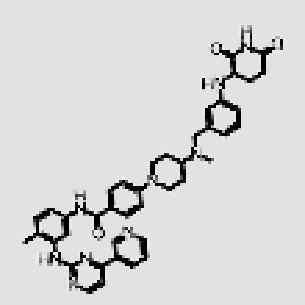 Cc1ccc(NC(=O)c2ccc(N3CCC(N(C)Cc4cccc(NC5CCC(=O)NC5=O)c4)CC3)cc2)cc1Nc1nccc(-c2cccnc2)n1